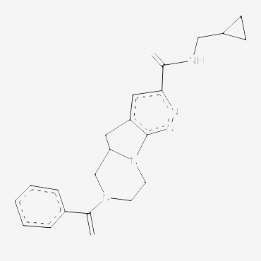 O=C(NCC1CC1)c1cc2c(nn1)N1CCN(C(=O)c3ccccc3)CC1C2